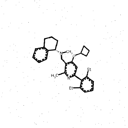 CCc1cccc(CC)c1-c1cc(OC2CCC2)c(CN(C)[C@H]2CCCc3ccccc32)c(C)n1